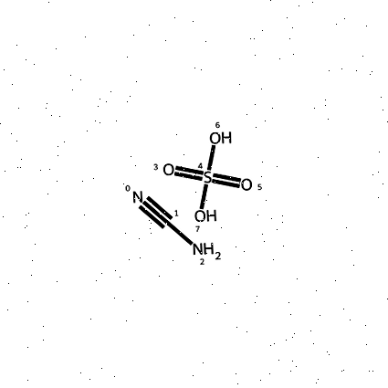 N#CN.O=S(=O)(O)O